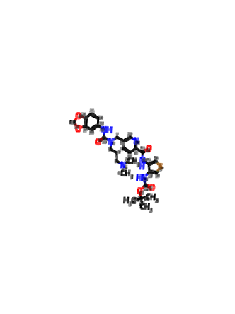 CN(C)CCCN(Cc1ccc(C(=O)Nc2cscc2NC(=O)OC(C)(C)C)nc1)C(=O)Nc1ccc2c(c1)OCO2